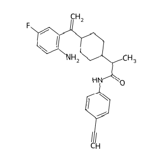 C#Cc1ccc(NC(=O)C(C)C2CCC(C(=C)c3cc(F)ccc3N)CC2)cc1